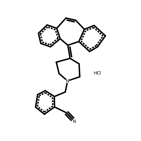 Cl.N#Cc1ccccc1CN1CCC(=C2c3ccccc3C=Cc3ccccc32)CC1